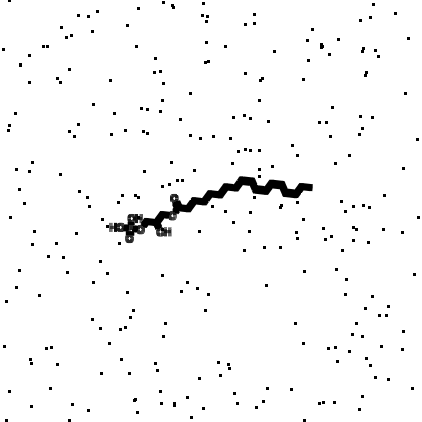 CC\C=C/C=C\C=C/C=C\CCCCCCCC(=O)OCC(O)COP(=O)(O)O